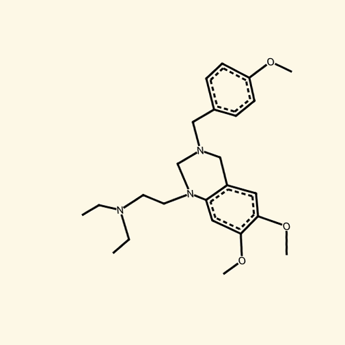 CCN(CC)CCN1CN(Cc2ccc(OC)cc2)Cc2cc(OC)c(OC)cc21